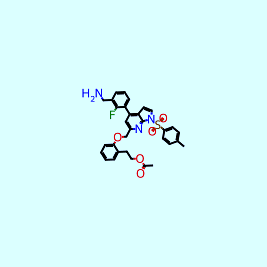 CC(=O)OCCc1ccccc1OCc1cc(-c2cccc(CN)c2F)c2ccn(S(=O)(=O)c3ccc(C)cc3)c2n1